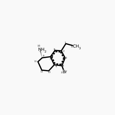 CCc1cc(Br)c2c(c1)[C@@H](N)CCC2